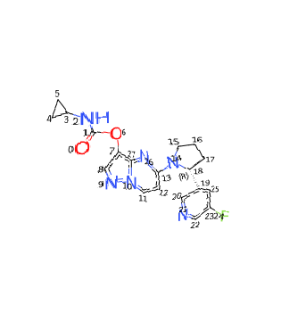 O=C(NC1CC1)Oc1cnn2ccc(N3CCC[C@@H]3c3cncc(F)c3)nc12